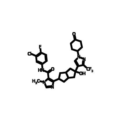 Cn1cnc(C2CC3CC(O)(c4cn(C5CCC(=O)CC5)nc4C(F)(F)F)CC3C2)c1C(=O)Nc1ccc(F)c(Cl)c1